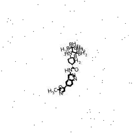 BC(B)(B)C(N[C@H]1CC[C@H](C(=O)Nc2cc3cc(-c4cnc(C)o4)ccc3nn2)CC1)C(B)(B)B